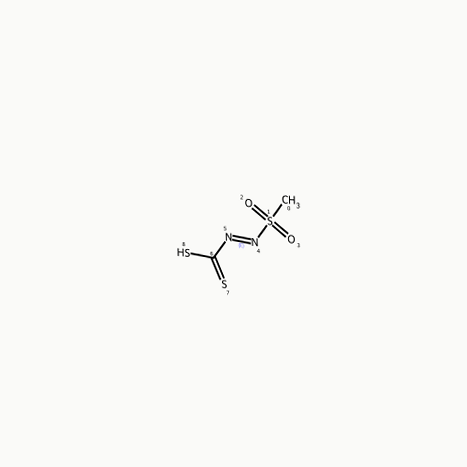 CS(=O)(=O)/N=N/C(=S)S